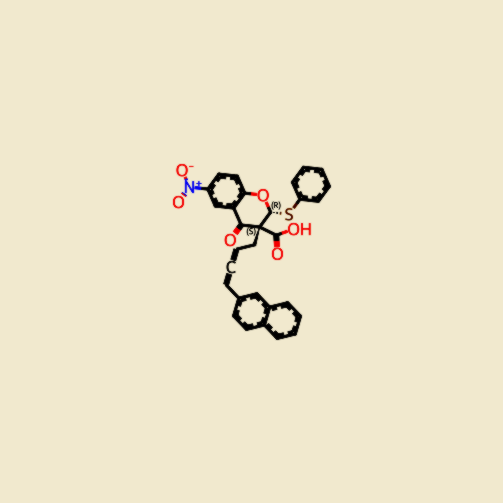 O=C(O)[C@]1(CC=C=Cc2ccc3ccccc3c2)C(=O)c2cc([N+](=O)[O-])ccc2O[C@@H]1Sc1ccccc1